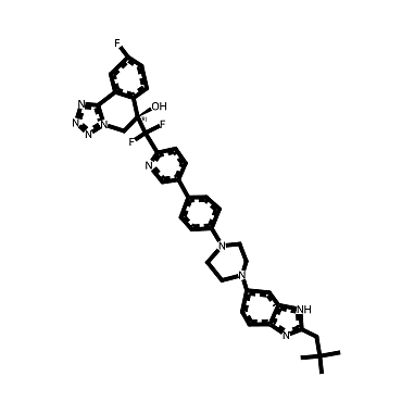 CC(C)(C)Cc1nc2ccc(N3CCN(c4ccc(-c5ccc(C(F)(F)[C@]6(O)Cn7nnnc7-c7cc(F)ccc76)nc5)cc4)CC3)cc2[nH]1